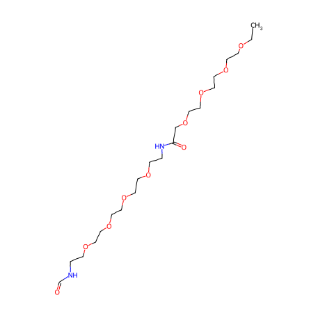 CCOCCOCCOCCOCC(=O)NCCOCCOCCOCCOCCNC=O